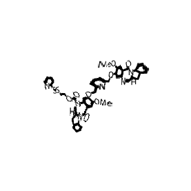 COc1cc2c(cc1OCc1cccc(COc3cc4c(cc3OC)C(=O)N3c5ccccc5C[C@H]3CN4C(=O)OCCSSc3ccccn3)n1)N=C[C@@H]1Cc3ccccc3N1C2=O